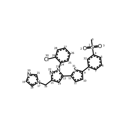 CS(=O)(=O)c1cccc(-c2ccc(-c3cc(Cn4ccnc4)nn3-c3ccccc3Cl)s2)c1